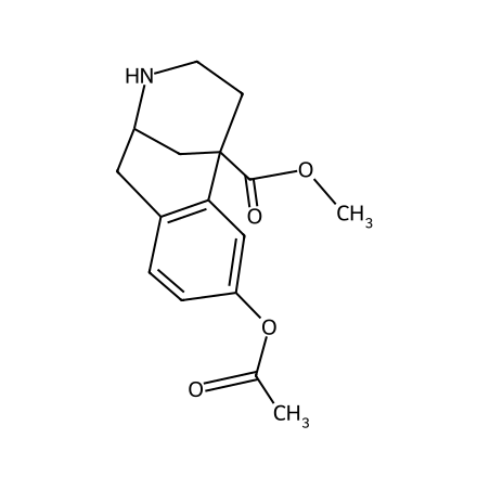 COC(=O)C12CCNC(Cc3ccc(OC(C)=O)cc31)C2